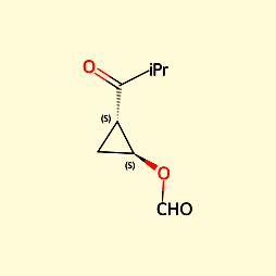 CC(C)C(=O)[C@H]1C[C@@H]1OC=O